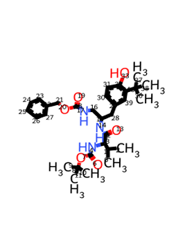 CC(C)C(NC(=O)OC(C)(C)C)C(=O)NC(CNC(=O)OCc1ccccc1)Cc1ccc(O)c(C(C)(C)C)c1